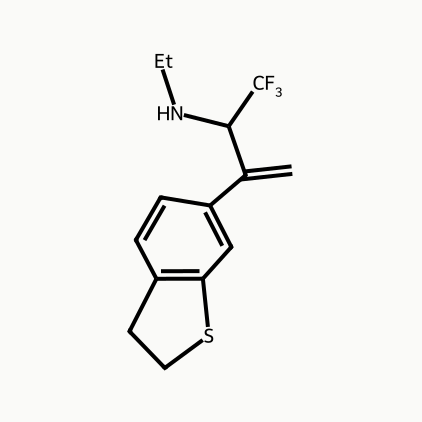 C=C(c1ccc2c(c1)SCC2)C(NCC)C(F)(F)F